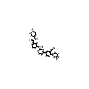 CN1CCC(NC(=O)c2cccc(Nc3nccc(-c4cnc(N5CCC(F)(F)C5)c(C#N)c4)n3)c2)CC1